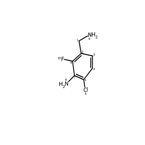 NCc1ccc(Cl)c(N)c1F